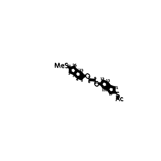 CSC1CC2C3CC(OCCOC4CC5CC4C4CC(SC(C)=O)CC54)C(C3)C2C1